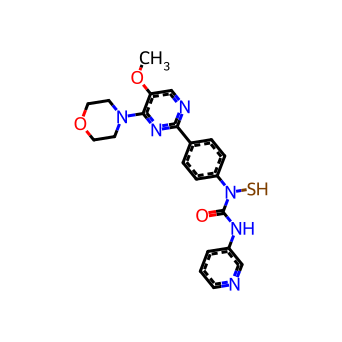 COc1cnc(-c2ccc(N(S)C(=O)Nc3cccnc3)cc2)nc1N1CCOCC1